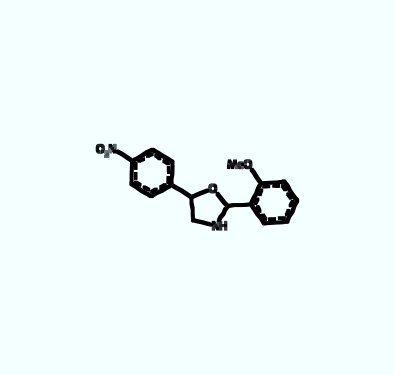 COc1ccccc1C1NCC(c2ccc([N+](=O)[O-])cc2)O1